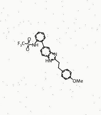 COc1ccc(CCc2nc3cc(-c4ccccc4NS(=O)(=O)C(F)(F)F)ccc3[nH]2)cc1